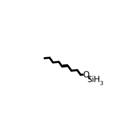 CCCCC=CCCCO[SiH3]